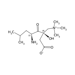 CC(C)C[C@H](N)C(=O)[C@@](O)(CC(=O)[O-])C[N+](C)(C)C